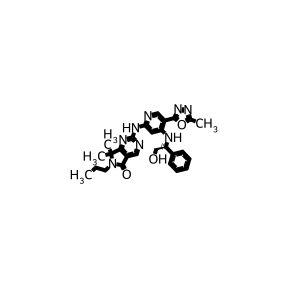 CCCN1C(=O)c2cnc(Nc3cc(N[C@H](CO)c4ccccc4)c(-c4nnc(C)o4)cn3)nc2C1(C)C